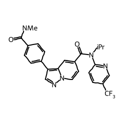 CNC(=O)c1ccc(-c2cnn3ccc(C(=O)N(c4ccc(C(F)(F)F)cn4)C(C)C)cc23)cc1